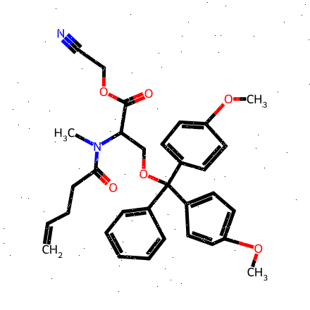 C=CCCC(=O)N(C)C(COC(c1ccccc1)(c1ccc(OC)cc1)c1ccc(OC)cc1)C(=O)OCC#N